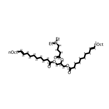 CCCCCCCCC=CCCCCCCCC(=O)OCC(COC(=O)CCCCCCCC=CCCCCCCCC)OC(=O)CCCN(CC)CC